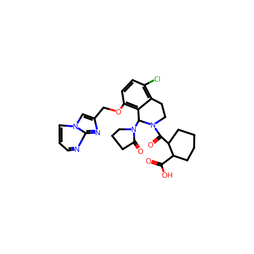 O=C(O)C1CCCCC1C(=O)N1CCc2c(Cl)ccc(OCc3cn4cccnc4n3)c2C1N1CCCC1=O